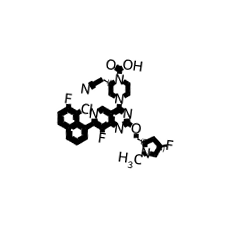 CN1C[C@H](F)C[C@H]1COc1nc(N2CCN(C(=O)O)[C@@H](CC#N)C2)c2cnc(-c3cccc4ccc(F)c(Cl)c34)c(F)c2n1